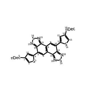 CCCCCCCCCCc1csc(-c2cc3c(cc(-c4cc(CCCCCCCCCC)cs4)c4nsnc43)c3nsnc23)c1